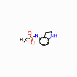 CS(=O)(=O)Nc1cccc2c1CCN2